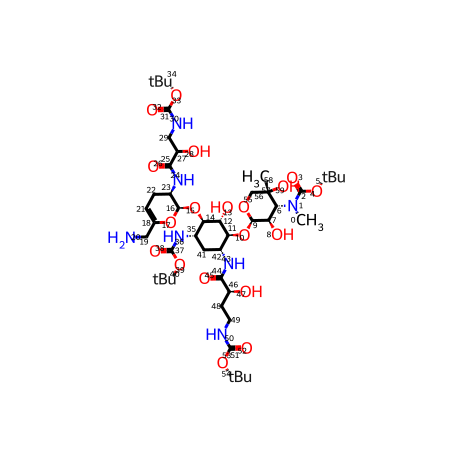 CN(C(=O)OC(C)(C)C)[C@@H]1[C@@H](O)[C@@H](O[C@@H]2[C@@H](O)[C@H](O[C@H]3OC(CN)=CC[C@H]3NC(=O)C(O)CNC(=O)OC(C)(C)C)[C@@H](NC(=O)OC(C)(C)C)C[C@H]2NC(=O)[C@@H](O)CCNC(=O)OC(C)(C)C)OC[C@]1(C)O